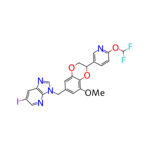 COc1cc(Cn2cnc3cc(I)cnc32)cc2c1OC(c1ccc(OC(F)F)nc1)CO2